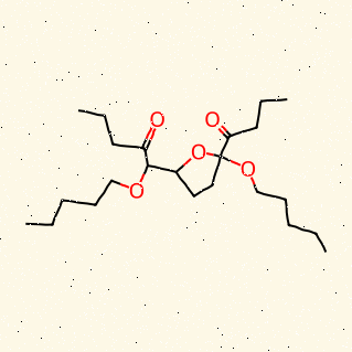 CCCCCOC(C(=O)CCC)C1CCC(OCCCCC)(C(=O)CCC)O1